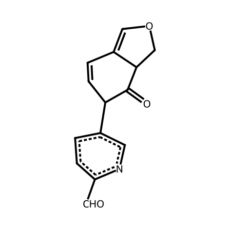 O=Cc1ccc(C2C=CC3=COCC3C2=O)cn1